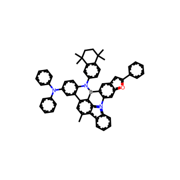 Cc1cc2c3c4c1c1ccccc1n4-c1cc4oc(-c5ccccc5)cc4cc1B3N(c1ccc3c(c1)C(C)(C)CCC3(C)C)c1ccc(N(c3ccccc3)c3ccccc3)cc1-2